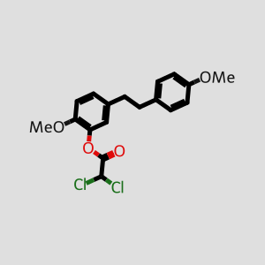 COc1ccc(CCc2ccc(OC)c(OC(=O)C(Cl)Cl)c2)cc1